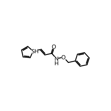 O=C(C=C[SH]1C=CC=C1)NOCc1ccccc1